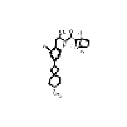 CN1CCC2(CC1)CC(c1ccc(C[C@@H](C#N)NC(=O)[C@H]3N[C@@H]4CC[C@H]3C4)c(F)c1)C2